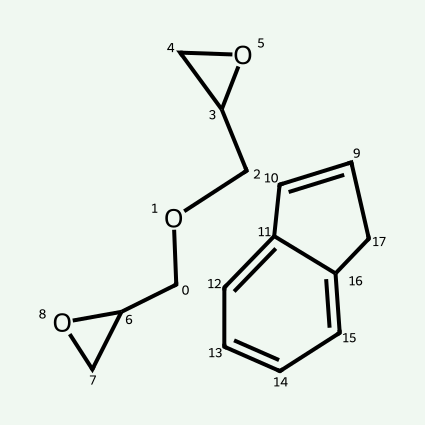 C(OCC1CO1)C1CO1.C1=Cc2ccccc2C1